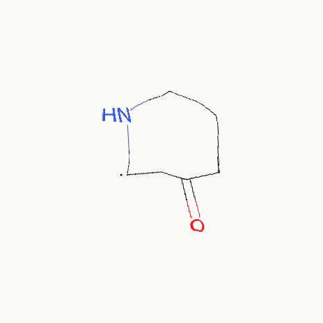 O=C1[CH]NCCC1